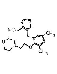 Cc1cc(C)c(OCCN2CCOCC2)c(Cc2ccccc2CC#N)c1